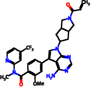 C=CC(=O)N1CC2CC(n3cc(-c4ccc(C(=O)N(C)c5cc(C(F)(F)F)ccn5)c(OC)c4)c4c(N)ncnc43)CC2C1